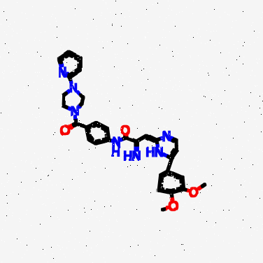 COc1ccc(C2=CC=N/C(=C/C(=N)C(=O)Nc3ccc(C(=O)N4CCN(c5ccccn5)CC4)cc3)N2)cc1OC